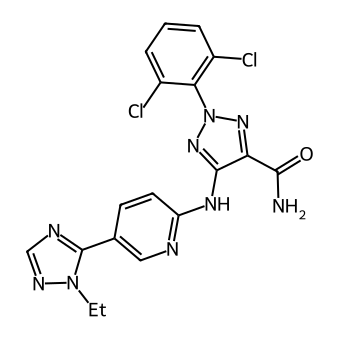 CCn1ncnc1-c1ccc(Nc2nn(-c3c(Cl)cccc3Cl)nc2C(N)=O)nc1